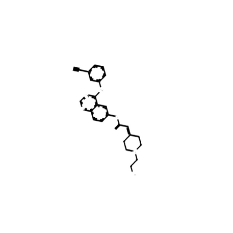 C#Cc1cccc(Nc2ncnc3ccc(NC(=O)C=C4CCN(CCO)CC4)cc23)c1